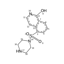 O=S(=O)(c1cccc2c(O)nccc12)N1CCNCC1